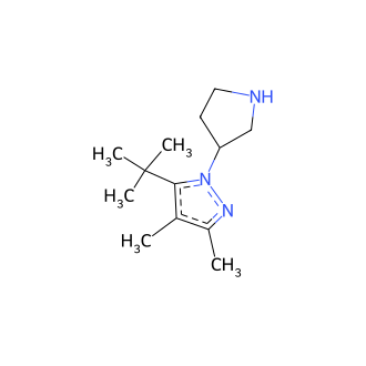 Cc1nn(C2CCNC2)c(C(C)(C)C)c1C